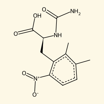 Cc1ccc([N+](=O)[O-])c(C[C@H](NC(N)=O)C(=O)O)c1C